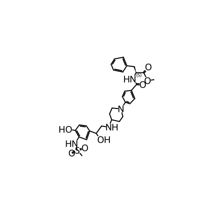 COC(=O)[C@H](Cc1ccccc1)NC(=O)c1ccc(N2CCC(NCC(O)c3ccc(O)c(NS(C)(=O)=O)c3)CC2)cc1